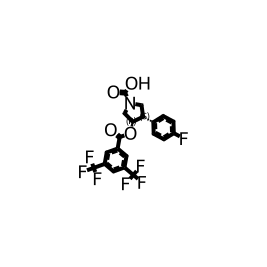 O=C(O[C@H]1CN(C(=O)O)C[C@@H]1c1ccc(F)cc1)c1cc(C(F)(F)F)cc(C(F)(F)F)c1